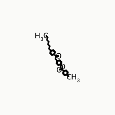 CCCCCCCc1ccc(C(=O)Cc2ccc(OC(=O)c3ccc(C)cc3)cc2)cc1